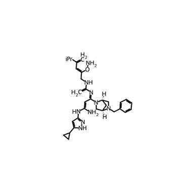 C=C(/N=C(\C=C(/N)Nc1cc(C2CC2)[nH]n1)N1C[C@H]2C[C@@H]1CN2Cc1ccccc1)NC/C(=C/C(=C)C(C)C)ON